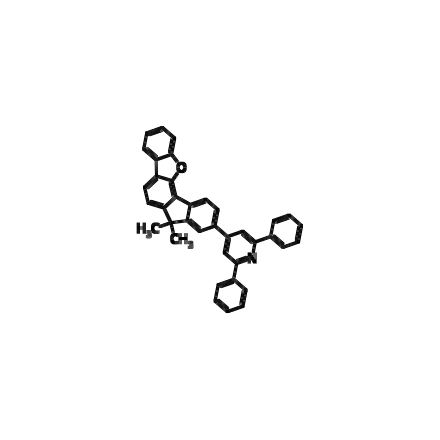 CC1(C)c2cc(-c3cc(-c4ccccc4)nc(-c4ccccc4)c3)ccc2-c2c1ccc1c2oc2ccccc21